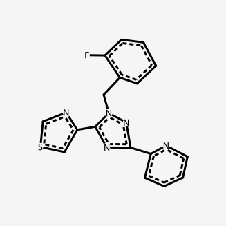 Fc1ccccc1Cn1nc(-c2ccccn2)nc1-c1cscn1